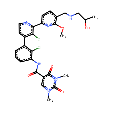 COc1nc(-c2nccc(-c3cccc(NC(=O)c4cn(C)c(=O)n(C)c4=O)c3Cl)c2Cl)ccc1CNCC(C)O